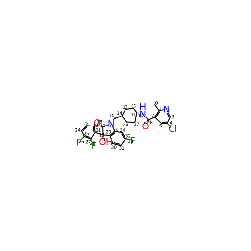 Cc1ncc(Cl)cc1C(=O)N[C@H]1CC[C@H](CN2C(=O)C(O)(c3cccc(F)c3F)c3ccc(F)cc32)CC1